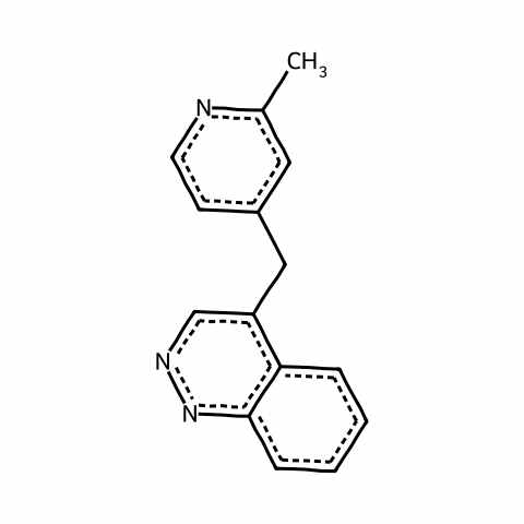 Cc1cc(Cc2cnnc3ccccc23)ccn1